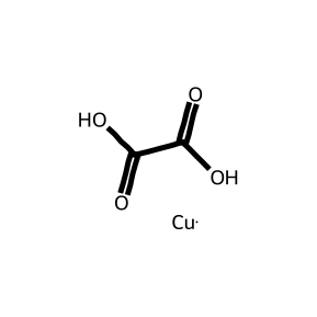 O=C(O)C(=O)O.[Cu]